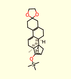 C[C@]12CC=C3C4=C(CC[C@H]3[C@@H]1CC=C2O[Si](C)(C)C)CC1(CC4)OCCO1